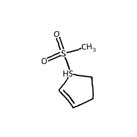 CS(=O)(=O)[SH]1C=CCC1